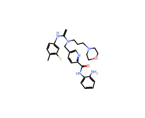 C=C(Nc1ccc(C)c(F)c1)N(CCCN1CCOCC1)Cc1ccc(C(=O)Nc2ccccc2N)nc1